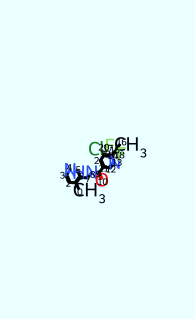 Cc1ccncc1CNC(=O)c1cnc(C(C)(F)F)c(Cl)c1